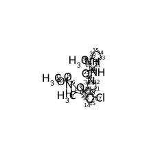 CCC[C@](OCCNC(=O)OC)(c1cccc(Cl)c1)[C@@H]1CCCN(C(=O)N[C@H](CNC)CC2CCCCC2)C1